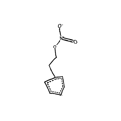 O=[N+]([O-])OCCc1cc[c]cc1